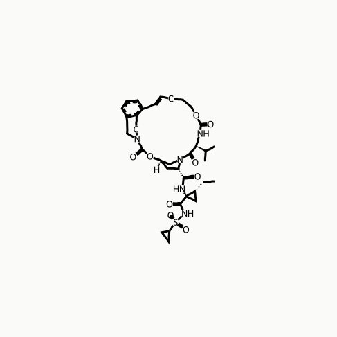 CC[C@@H]1C[C@]1(NC(=O)[C@@H]1C[C@@H]2CN1C(=O)[C@H](C(C)C)NC(=O)OCCC/C=C/c1cccc3c1CN(C3)C(=O)O2)C(=O)NS(=O)(=O)C1CC1